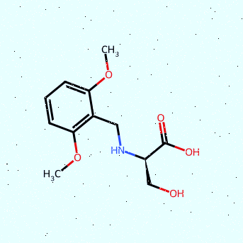 COc1cccc(OC)c1CN[C@H](CO)C(=O)O